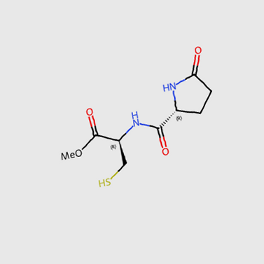 COC(=O)[C@H](CS)NC(=O)[C@H]1CCC(=O)N1